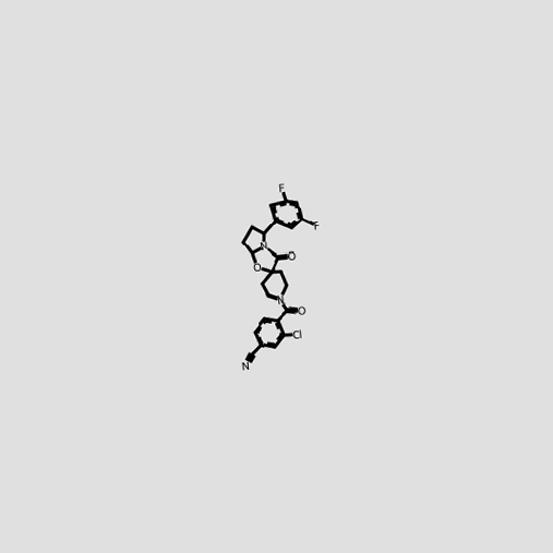 N#Cc1ccc(C(=O)N2CCC3(CC2)OC2CCC(c4cc(F)cc(F)c4)N2C3=O)c(Cl)c1